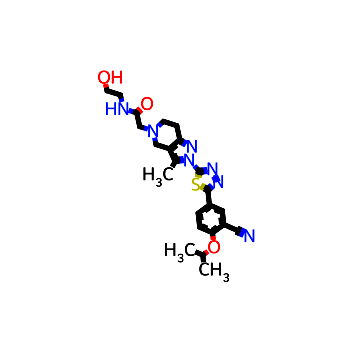 Cc1c2c(nn1-c1nnc(-c3ccc(OC(C)C)c(C#N)c3)s1)CCN(CC(=O)NCCO)C2